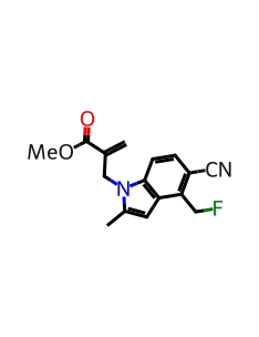 C=C(Cn1c(C)cc2c(CF)c(C#N)ccc21)C(=O)OC